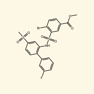 COC(=O)c1ccc(Br)c(S(=O)(=O)Nc2cc(S(C)(=O)=O)ccc2-c2cccc(F)c2)c1